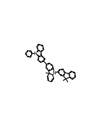 CC1(C)c2ccccc2-c2ccc(N3c4ccc(-c5ccc6c(c5)c5ccccc5n6-c5ccccc5)cc4C4(C)C=CC=CC34)cc21